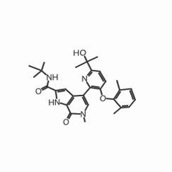 Cc1cccc(C)c1Oc1ccc(C(C)(C)O)nc1-c1cn(C)c(=O)c2[nH]c(C(=O)NC(C)(C)C)cc12